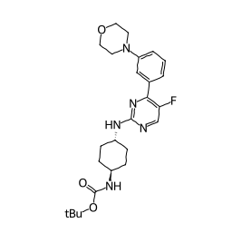 CC(C)(C)OC(=O)N[C@H]1CC[C@H](Nc2ncc(F)c(-c3cccc(N4CCOCC4)c3)n2)CC1